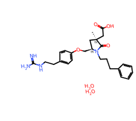 C[C@@]1(CC(=O)O)C[C@H](COc2ccc(CCNC(=N)N)cc2)N(CCCc2ccccc2)C1=O.O.O